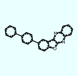 c1ccc(-c2ccc(-c3ccc4oc5nc6ccccc6nc5c4c3)cc2)cc1